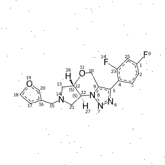 Fc1ccc(-c2nnn3c2CO[C@H]2CN(Cc4ccoc4)C[C@@H]23)c(F)c1